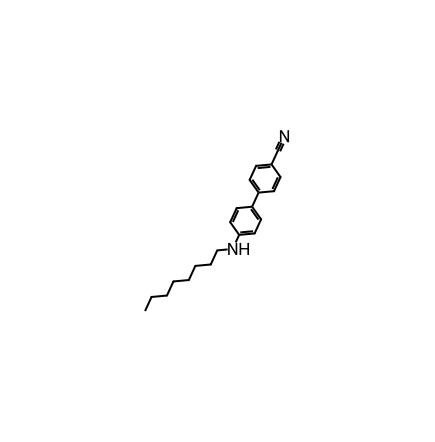 CCCCCCCCNc1ccc(-c2ccc(C#N)cc2)cc1